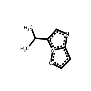 CC(C)c1cnc2ccon12